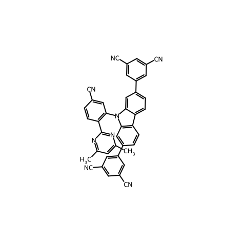 Cc1cc(C)nc(-c2ccc(C#N)cc2-n2c3cc(-c4cc(C#N)cc(C#N)c4)ccc3c3ccc(-c4cc(C#N)cc(C#N)c4)cc32)n1